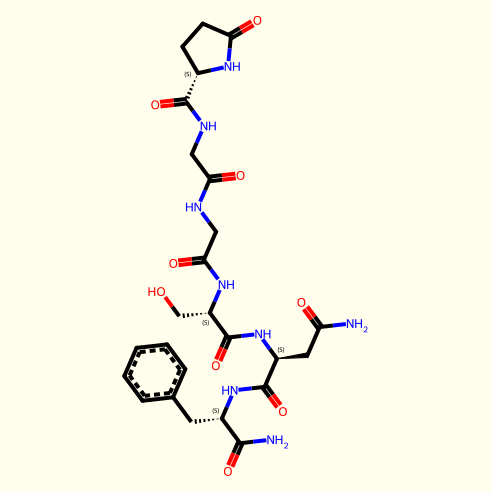 NC(=O)C[C@H](NC(=O)[C@H](CO)NC(=O)CNC(=O)CNC(=O)[C@@H]1CCC(=O)N1)C(=O)N[C@@H](Cc1ccccc1)C(N)=O